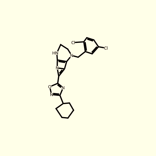 Clc1ccc(Cl)c(CN2CCNc3c2c2c(-c4nc(C5CCCCC5)no4)n3-2)c1